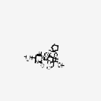 C[C@@]12OC3(CCCC3)O[C@@H]1[C@](CO)(CCl)O[C@H]2n1ccc(N)nc1=O